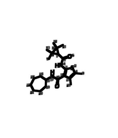 Cc1sc(NC(=O)C2C(C)(C)C2(C)C)c(C(=O)NC2CCCCCC2)c1C